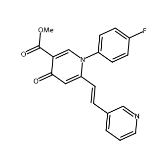 COC(=O)c1cn(-c2ccc(F)cc2)c(C=Cc2cccnc2)cc1=O